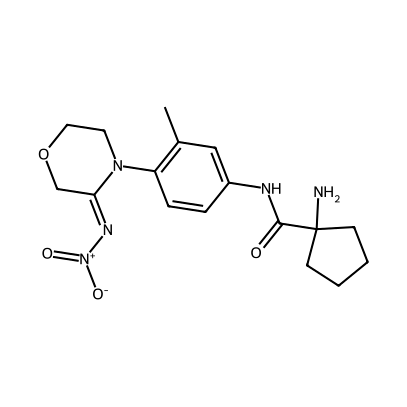 Cc1cc(NC(=O)C2(N)CCCC2)ccc1N1CCOCC1=N[N+](=O)[O-]